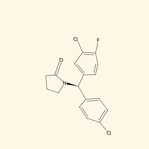 O=C1CCCN1[C@H](c1ccc(Cl)cc1)c1ccc(F)c(Cl)c1